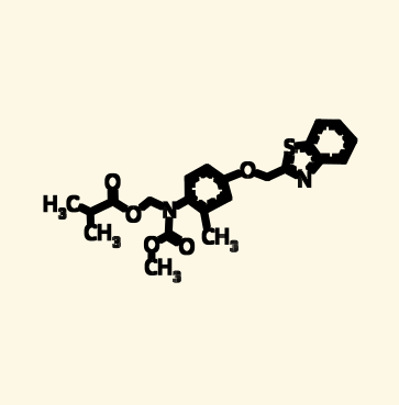 COC(=O)N(COC(=O)C(C)C)c1ccc(OCc2nc3ccccc3s2)cc1C